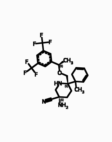 C[C@@H](OC[C@@]1(C2(C)C=CC=CC2)CC[C@@](N)(C#N)CN1)c1cc(C(F)(F)F)cc(C(F)(F)F)c1